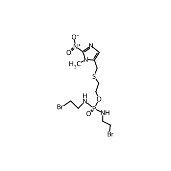 Cn1c(CSCCOP(=O)(NCCBr)NCCBr)cnc1[N+](=O)[O-]